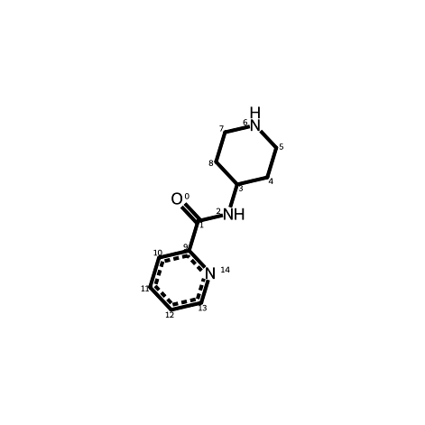 O=C(NC1CCNCC1)c1ccccn1